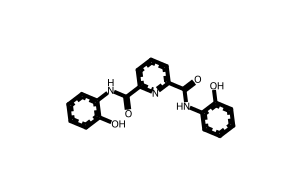 O=C(Nc1ccccc1O)c1cccc(C(=O)Nc2ccccc2O)n1